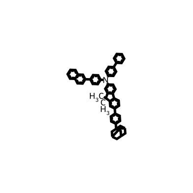 CC1(C)c2cc(-c3ccc(C45CC6CC(CC(C6)C4)C5)cc3)ccc2-c2ccc(N(c3ccc(-c4ccccc4)cc3)c3ccc(-c4ccc5ccccc5c4)cc3)cc21